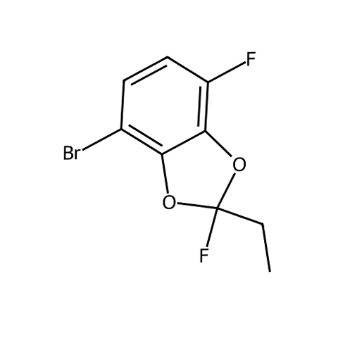 CCC1(F)Oc2c(F)ccc(Br)c2O1